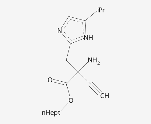 C#CC(N)(Cc1ncc(C(C)C)[nH]1)C(=O)OCCCCCCC